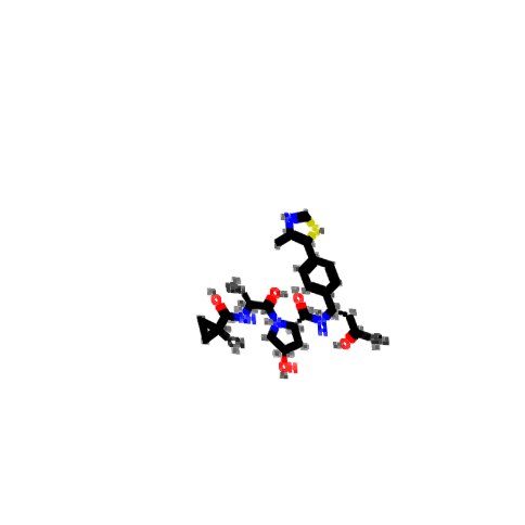 Cc1ncsc1-c1ccc([C@H](CC(=O)C(C)(C)C)NC(=O)[C@@H]2C[C@@H](O)CN2C(=O)[C@@H](NC(=O)C2(C#N)CC2)C(C)(C)C)cc1